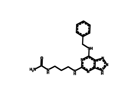 NC(=O)NCCCNc1nc(NCc2ccccc2)c2nn[nH]c2n1